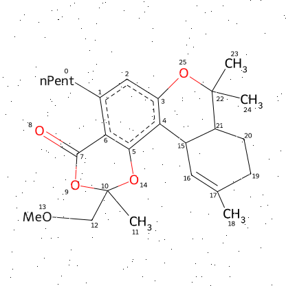 CCCCCc1cc2c(c3c1C(=O)OC(C)(COC)O3)C1C=C(C)CCC1C(C)(C)O2